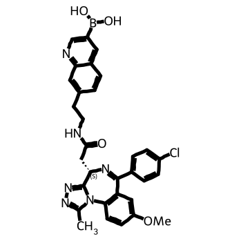 COc1ccc2c(c1)C(c1ccc(Cl)cc1)=N[C@@H](CC(=O)NCCc1ccc3cc(B(O)O)cnc3c1)c1nnc(C)n1-2